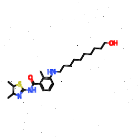 Cc1c(NCCCCCCCCCCO)cccc1C(=O)NC1=NC(C)C(C)S1